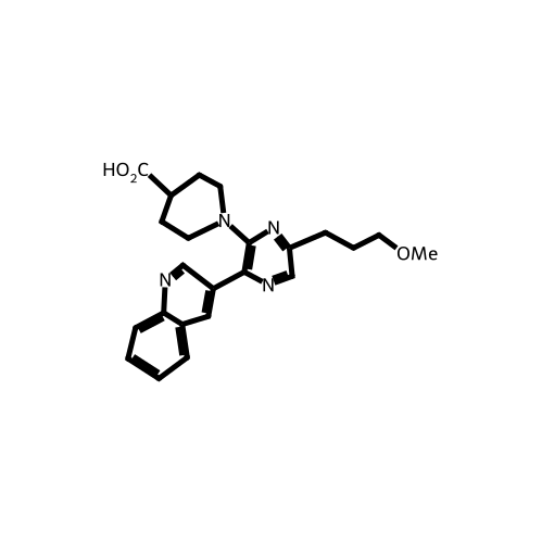 COCCCc1cnc(-c2cnc3ccccc3c2)c(N2CCC(C(=O)O)CC2)n1